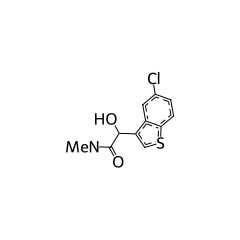 CNC(=O)C(O)c1csc2ccc(Cl)cc12